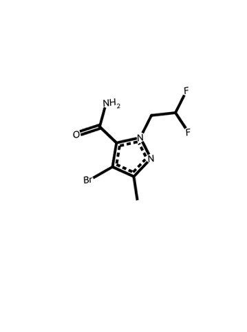 Cc1nn(CC(F)F)c(C(N)=O)c1Br